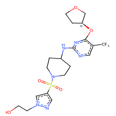 O=S(=O)(c1cnn(CCO)c1)N1CCC(Nc2ncc(C(F)(F)F)c(O[C@H]3CCOC3)n2)CC1